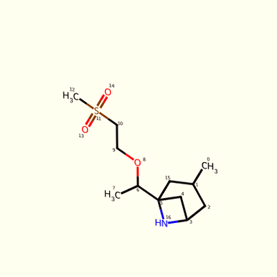 CC1CC2CC(C(C)OCCS(C)(=O)=O)(C1)N2